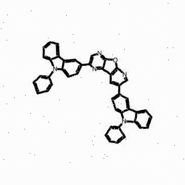 c1ccc(-n2c3ccccc3c3cc(-c4cnc5oc6ncc(-c7ccc8c(c7)c7ccccc7n8-c7ccccc7)nc6c5c4)ccc32)cc1